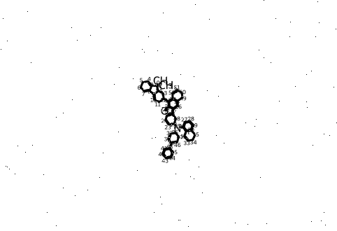 CC1(C)C2=CCCC=C2C2=CCC(c3c4c(cc5c6c(oc35)C=CC(N(c3cccc5c3C=CCC5)C3C=CC(c5ccccc5)=CC3)C6)CCC=C4)CC21